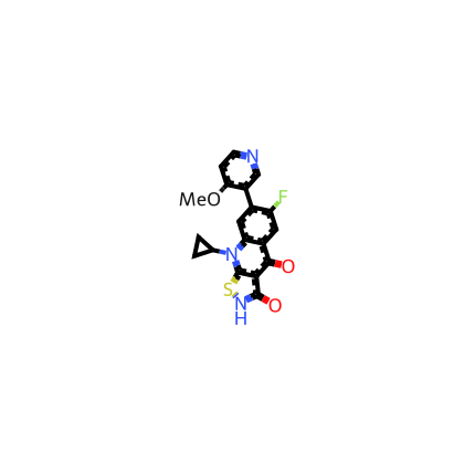 COc1ccncc1-c1cc2c(cc1F)c(=O)c1c(=O)[nH]sc1n2C1CC1